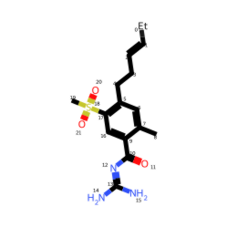 CC/C=C/CCc1cc(C)c(C(=O)N=C(N)N)cc1S(C)(=O)=O